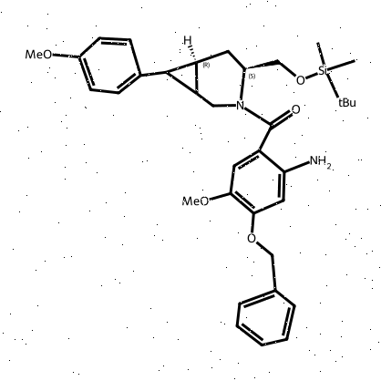 COc1ccc(C2C3CN(C(=O)c4cc(OC)c(OCc5ccccc5)cc4N)[C@H](CO[Si](C)(C)C(C)(C)C)C[C@@H]32)cc1